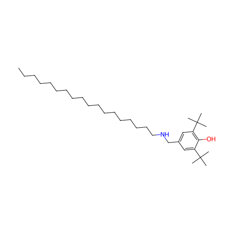 CCCCCCCCCCCCCCCCCCNCc1cc(C(C)(C)C)c(O)c(C(C)(C)C)c1